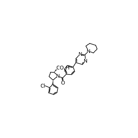 O=C(O)[C@@H]1CC[C@H](c2ccccc2Cl)N1C(=O)c1ccc(-c2cnc(N3CCCCC3)nc2)cc1